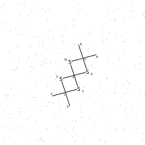 CC1(C)SC2(S1)SC(C)(C)S2